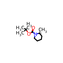 C[C@@H]1CCCCN1C(=O)OC(C)(C)C